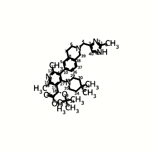 Cc1nc(CN2CCc3cc(-c4c(C)nc(C)c([C@H](OC(C)(C)C)C(=O)O)c4N4CCC(C)(C)CC4)ccc3C2)c[nH]1